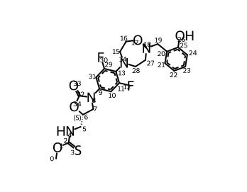 COC(=S)NC[C@H]1CN(c2cc(F)c(N3CCON(Cc4ccccc4O)CC3)c(F)c2)C(=O)O1